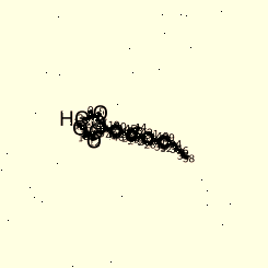 C=C(CO)C(=O)OCC(COC(=O)C(=C)COC)C1CCC(c2ccc(C3CCC(C4CCC(CCCCC)CC4)CC3)c(C)c2)CC1